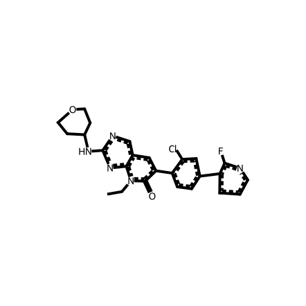 CCn1c(=O)c(-c2ccc(-c3cccnc3F)cc2Cl)cc2cnc(NC3CCOCC3)nc21